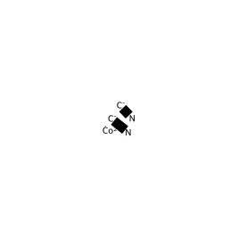 [C-]#N.[C-]#N.[Co+2]